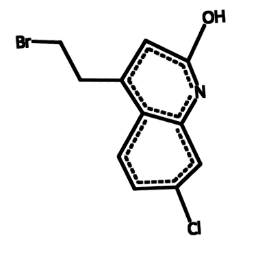 Oc1cc(CCBr)c2ccc(Cl)cc2n1